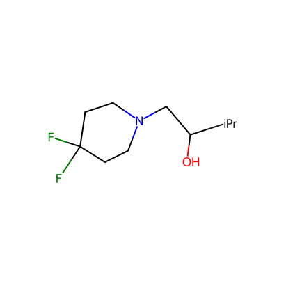 CC(C)C(O)CN1CCC(F)(F)CC1